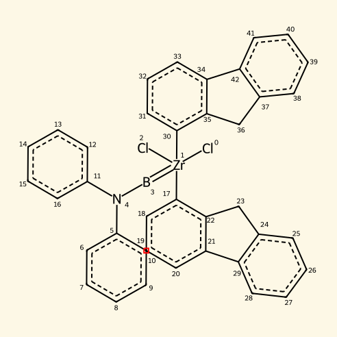 [Cl][Zr]([Cl])(=[B]N(c1ccccc1)c1ccccc1)([c]1cccc2c1Cc1ccccc1-2)[c]1cccc2c1Cc1ccccc1-2